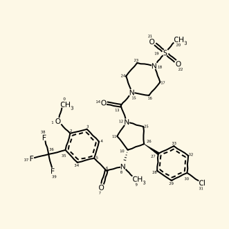 COc1ccc(C(=O)N(C)[C@@H]2CN(C(=O)N3CCN(S(C)(=O)=O)CC3)C[C@H]2c2ccc(Cl)cc2)cc1C(F)(F)F